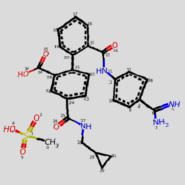 CS(=O)(=O)O.N=C(N)c1ccc(NC(=O)c2ccccc2-c2ccc(C(=O)NCC3CC3)cc2C(=O)O)cc1